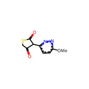 COc1ccc(C2C(=O)CSC2=O)nn1